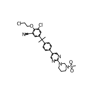 CC(C)(c1ccc(-c2cnc(N3CCCN(S(C)(=O)=O)C3)nc2)cc1)c1cc(Cl)c(OCCCl)c(C#N)c1